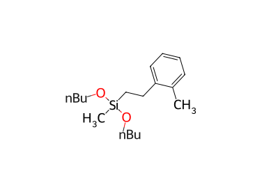 CCCCO[Si](C)(CCc1ccccc1C)OCCCC